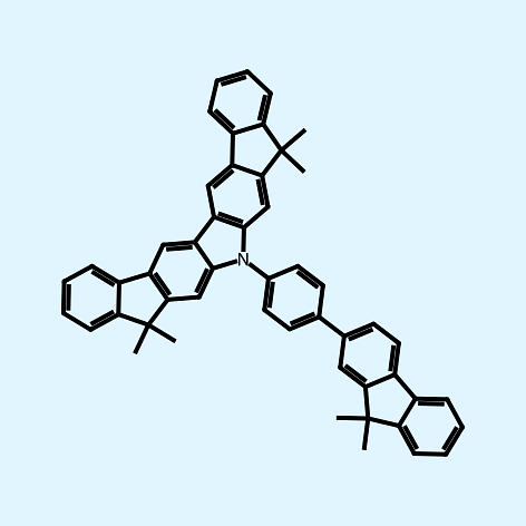 CC1(C)c2ccccc2-c2ccc(-c3ccc(-n4c5cc6c(cc5c5cc7c(cc54)C(C)(C)c4ccccc4-7)-c4ccccc4C6(C)C)cc3)cc21